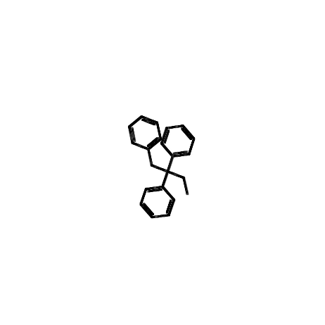 CCC(Cc1ccccc1)(c1ccccc1)c1ccccc1